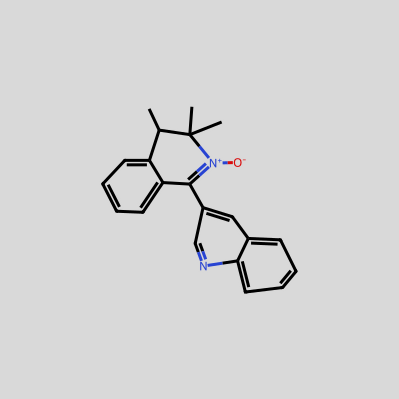 CC1c2ccccc2C(c2cnc3ccccc3c2)=[N+]([O-])C1(C)C